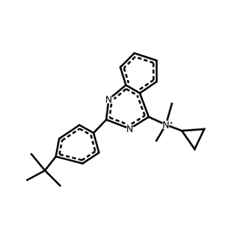 CC(C)(C)c1ccc(-c2nc([N+](C)(C)C3CC3)c3ccccc3n2)cc1